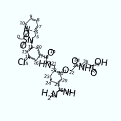 CS(=O)(=O)N(Cc1ccccn1)c1cc(Cl)cc(C(=O)NCc2ccc(C(=N)N)cc2OCC(=O)NCC(=O)O)c1